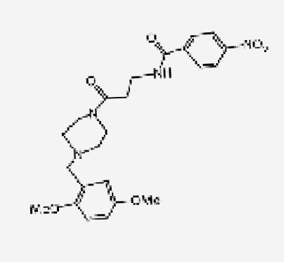 COc1ccc(OC)c(CN2CCN(C(=O)CCNC(=O)c3ccc([N+](=O)[O-])cc3)CC2)c1